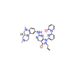 C=CCn1c(=O)c2cnc(Nc3ccc4c(c3)N3CCN(C)C[C@H]3CN4C)nc2n1-c1cccc(-n2ccccc2=O)n1